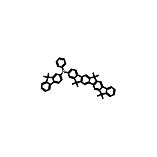 CC1(C)c2ccccc2-c2ccc(N(c3ccccc3)c3ccc4c(c3)C(C)(C)c3cc5c(cc3-4)C(C)(C)c3cc4c(cc3-5)C(C)(C)c3ccccc3-4)cc21